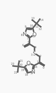 C=C(CSCC(=C)c1ncc(C(C)(C)C)o1)c1ncc(C(C)(C)C)o1